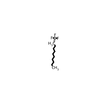 CCC[CH]CCCCCC.F[B-](F)(F)F